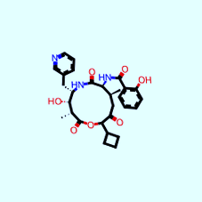 C[C@H]1CC(=O)C(C2CCC2)OC(=O)[C@H](C)[C@H](O)[C@H](Cc2cccnc2)NC(=O)[C@H]1NC(=O)c1ccccc1O